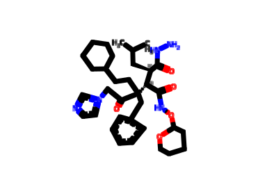 CC(C)C[C@@H](C(=O)NN)[C@H](C(=O)NOC1CCCCO1)C(CCC1CCCCC1)(Cc1ccccc1)C(=O)Cn1ccnc1